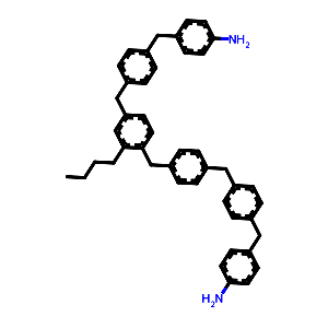 CCCCc1cc(Cc2ccc(Cc3ccc(N)cc3)cc2)ccc1Cc1ccc(Cc2ccc(Cc3ccc(N)cc3)cc2)cc1